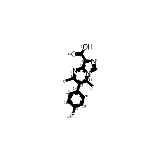 Cc1nc2c(C(=O)O)ncn2c(C)c1-c1ccc(F)cc1